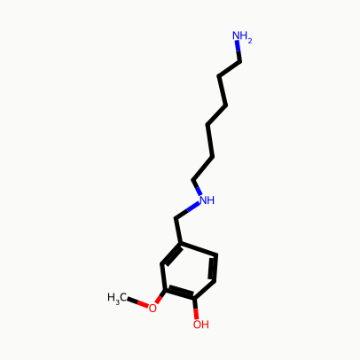 COc1cc(CNCCCCCCN)ccc1O